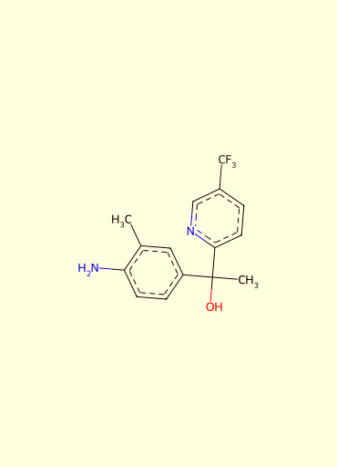 Cc1cc(C(C)(O)c2ccc(C(F)(F)F)cn2)ccc1N